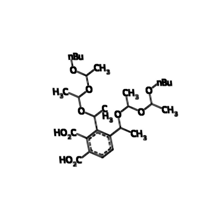 CCCCOC(C)OC(C)OC(C)c1ccc(C(=O)O)c(C(=O)O)c1C(C)OC(C)OC(C)OCCCC